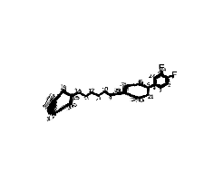 Fc1ccc(C2CCC(CCCCCCC3CCCC3)CC2)cc1F